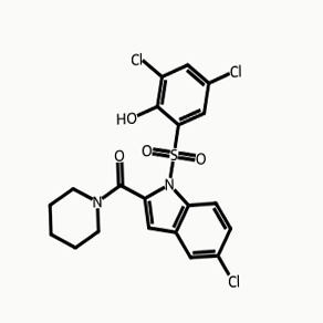 O=C(c1cc2cc(Cl)ccc2n1S(=O)(=O)c1cc(Cl)cc(Cl)c1O)N1CCCCC1